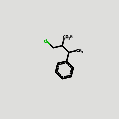 CC(c1ccccc1)C(CCl)C(=O)O